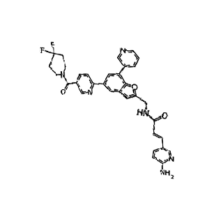 Nc1ccc(C=CC(=O)NCc2cc3cc(-c4ccc(C(=O)N5CCC(F)(F)CC5)cn4)cc(-c4cccnc4)c3o2)cn1